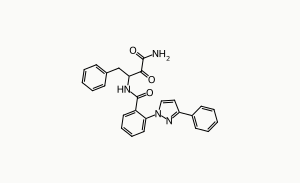 NC(=O)C(=O)C(Cc1ccccc1)NC(=O)c1ccccc1-n1ccc(-c2ccccc2)n1